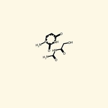 NC(=O)NC(=O)CO.Nn1ccc(=O)[nH]c1=O